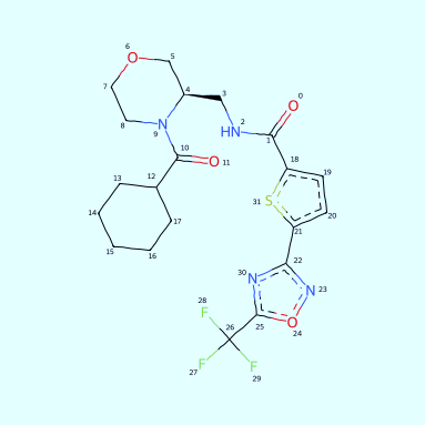 O=C(NC[C@@H]1COCCN1C(=O)C1CCCCC1)c1ccc(-c2noc(C(F)(F)F)n2)s1